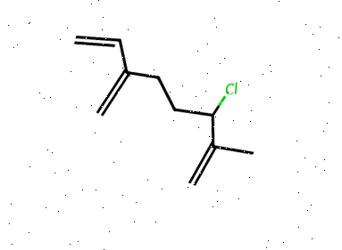 C=CC(=C)CCC(Cl)C(=C)C